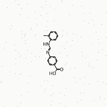 Cc1ccccc1NC=Nc1ccc(C(=O)O)cc1